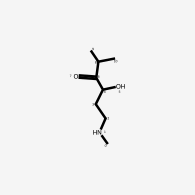 CNCCC(O)C(=O)C(C)C